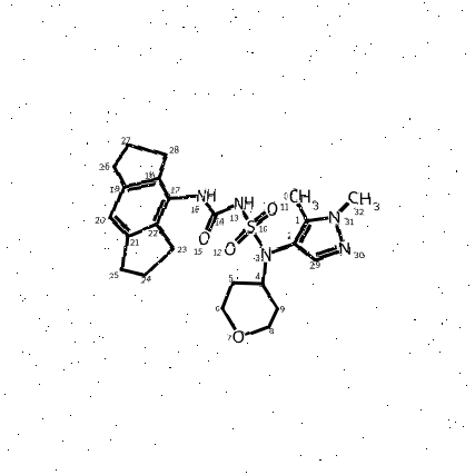 Cc1c(N(C2CCOCC2)S(=O)(=O)NC(=O)Nc2c3c(cc4c2CCC4)CCC3)cnn1C